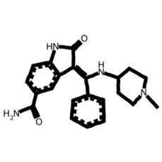 CN1CCC(N/C(=C2\C(=O)Nc3ccc(C(N)=O)cc32)c2ccccc2)CC1